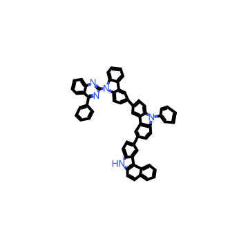 c1ccc(-c2nc(-n3c4ccccc4c4cc(-c5ccc6c(c5)c5cc(-c7ccc8[nH]c9ccc%10ccccc%10c9c8c7)ccc5n6-c5ccccc5)ccc43)nc3ccccc23)cc1